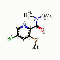 CCSc1cc(Br)cnc1C(=O)N(C)OC